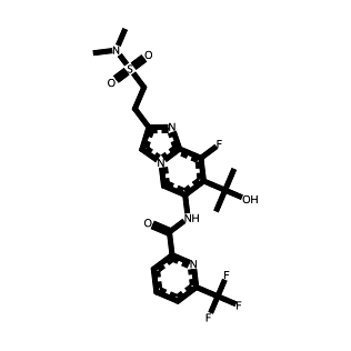 CN(C)S(=O)(=O)CCc1cn2cc(NC(=O)c3cccc(C(F)(F)F)n3)c(C(C)(C)O)c(F)c2n1